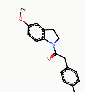 Cc1ccc(CC(=O)N2CCc3cc(OC(C)C)ccc32)cc1